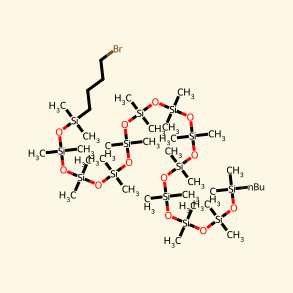 CCCC[Si](C)(C)O[Si](C)(C)O[Si](C)(C)O[Si](C)(C)O[Si](C)(C)O[Si](C)(C)O[Si](C)(C)O[Si](C)(C)O[Si](C)(C)O[Si](C)(C)O[Si](C)(C)O[Si](C)(C)O[Si](C)(C)CCCCBr